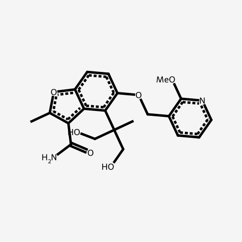 COc1ncccc1COc1ccc2oc(C)c(C(N)=O)c2c1C(C)(CO)CO